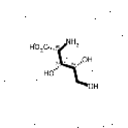 N[C@@H](C(=O)O)[C@@H](O)[C@H](O)CO